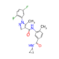 Cc1ccc(C(=O)NC2CC2)cc1NC(=O)c1cnn(-c2cc(F)ccc2F)c1C